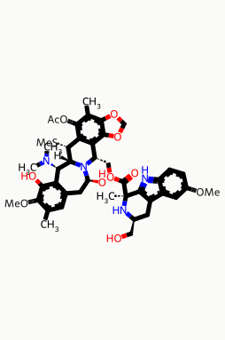 COc1ccc2[nH]c3c(c2c1)C[C@@H](CO)N[C@@]3(C)C(=O)OC[C@H]1c2c3c(c(C)c(OC(C)=O)c2[C@@H](SC)[C@H]2[C@@H](N(C)C)c4c(cc(C)c(OC)c4O)C[C@H](O)N21)OCO3